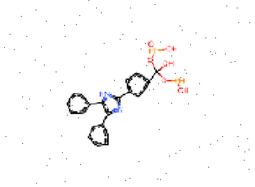 O=[PH](O)OC(O)(OPO)c1ccc(-c2nc(-c3ccccc3)c(-c3ccccc3)[nH]2)cc1